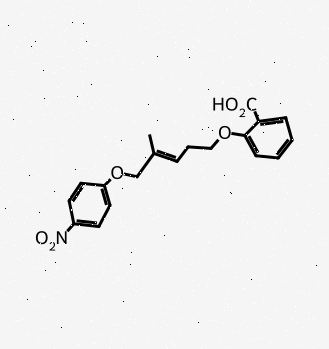 C/C(=C\CCOc1ccccc1C(=O)O)COc1ccc([N+](=O)[O-])cc1